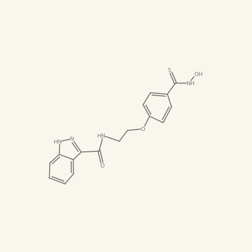 O=C(NCCOc1ccc(C(=S)NO)cc1)c1n[nH]c2ccccc12